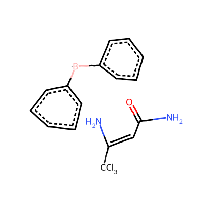 NC(=O)C=C(N)C(Cl)(Cl)Cl.[B](c1ccccc1)c1ccccc1